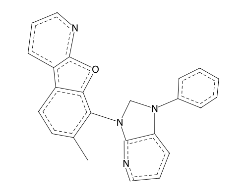 Cc1ccc2c(oc3ncccc32)c1N1CN(c2ccccc2)c2cccnc21